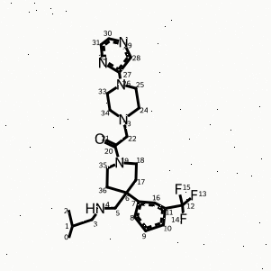 CC(C)CNCC1(c2cccc(C(F)(F)F)c2)CCN(C(=O)CN2CCN(c3cnccn3)CC2)CC1